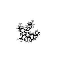 CC(C)c1nc2c(c(I)c1C(O)c1ccc(C(F)(F)F)cc1)C(O[Si](C)(C)C(C)(C)C)CC(C)(C)C2